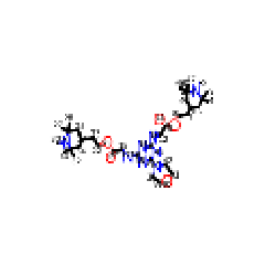 CN1C(C)(C)CC(CCOC(=O)C=Nc2nc(N=CC(=O)OCCC3CC(C)(C)N(C)C(C)(C)C3)nc(N3CCOCC3)n2)CC1(C)C